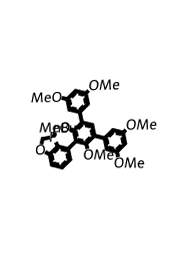 CCCCP1COc2cccc(-c3c(OC)c(-c4cc(OC)cc(OC)c4)cc(-c4cc(OC)cc(OC)c4)c3OC)c21